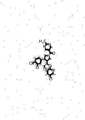 Cc1ncc(C(=O)N2CC([C@H](CO)Oc3ccc(Cl)cn3)[C@@H](c3ccc(Cl)c(Cl)c3)C2)cn1